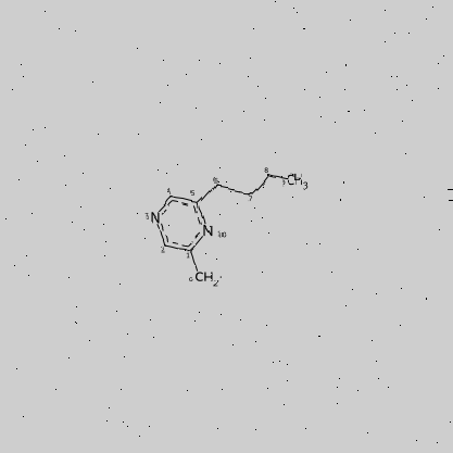 [CH2]c1cncc(CCCC)n1